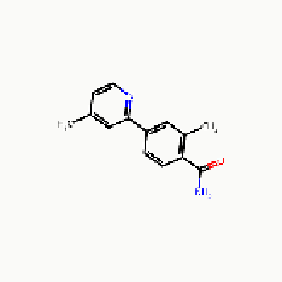 Cc1ccnc(-c2ccc(C(N)=O)c(C)c2)c1